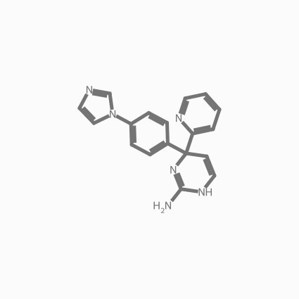 NC1=NC(c2ccc(-n3ccnc3)cc2)(c2ccccn2)C=CN1